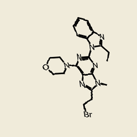 CCc1nc2ccccc2n1-c1nc(N2CCOCC2)c2nc(CCBr)n(C)c2n1